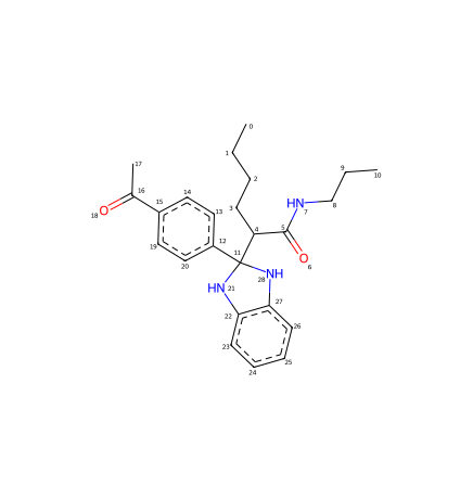 CCCCC(C(=O)NCCC)C1(c2ccc(C(C)=O)cc2)Nc2ccccc2N1